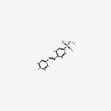 CS(=O)(=O)c1ccc(C=Nc2ccccc2)cc1